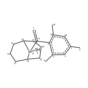 Cc1cc(C)c(C(=O)[P]2(S)C3CCCC2CCC3)c(C)c1